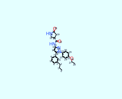 CCCc1cccc(-c2cc(NC(=O)[C@@H]3CNC(=O)C3)nn2-c2ccc(OCC)cc2)c1